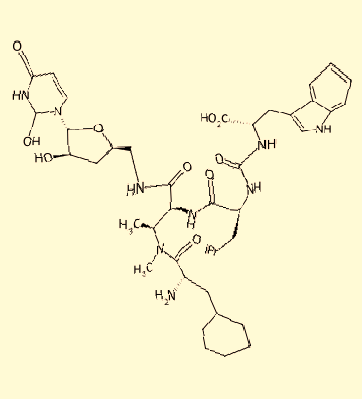 CC(C)C[C@H](NC(=O)N[C@@H](Cc1c[nH]c2ccccc12)C(=O)O)C(=O)N[C@H](C(=O)NC[C@H]1C[C@@H](O)[C@H](N2C=CC(=O)NC2O)O1)[C@H](C)N(C)C(=O)[C@@H](N)CC1CCCCC1